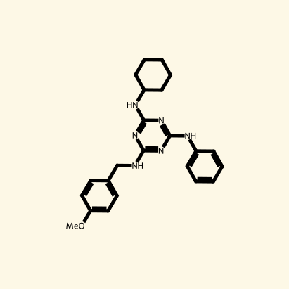 COc1ccc(CNc2nc(Nc3ccccc3)nc(NC3CCCCC3)n2)cc1